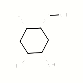 CO[C@@H]1C[C@H](C)[C@H](C)C[C@@H]1F